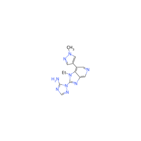 CCn1c(-n2ncnc2N)nc2cncc(-c3cnn(C)c3)c21